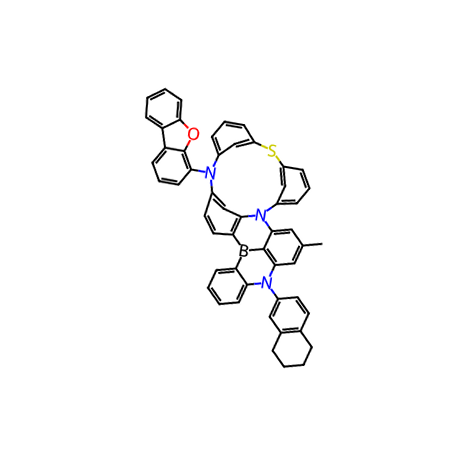 Cc1cc2c3c(c1)N1c4cccc(c4)Sc4cccc(c4)N(c4cccc5c4oc4ccccc45)c4ccc(c1c4)B3c1ccccc1N2c1ccc2c(c1)CCCC2